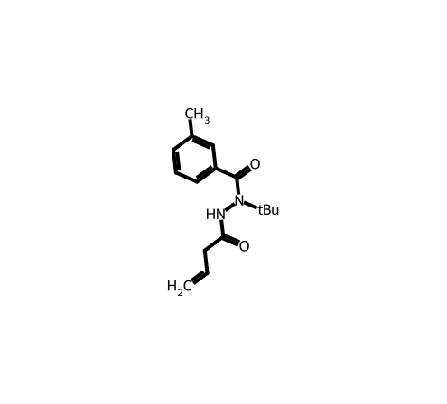 C=CCC(=O)NN(C(=O)c1cccc(C)c1)C(C)(C)C